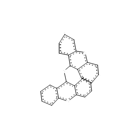 c1ccc2c(Nc3c4ccccc4nc4ccccc34)c3ccccc3nc2c1